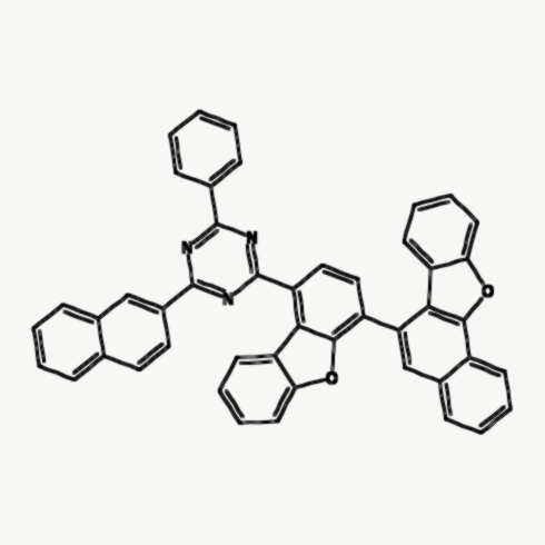 c1ccc(-c2nc(-c3ccc4ccccc4c3)nc(-c3ccc(-c4cc5ccccc5c5oc6ccccc6c45)c4oc5ccccc5c34)n2)cc1